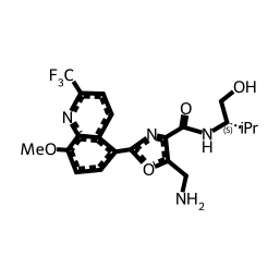 COc1ccc(-c2nc(C(=O)N[C@H](CO)C(C)C)c(CN)o2)c2ccc(C(F)(F)F)nc12